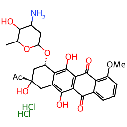 COc1cccc2c1C(=O)c1c(O)c3c(c(O)c1C2=O)C[C@@](O)(C(C)=O)C[C@@H]3OC1CC(N)C(O)C(C)O1.Cl.Cl